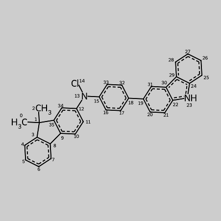 CC1(C)c2ccccc2-c2ccc(N(Cl)c3ccc(-c4ccc5[nH]c6ccccc6c5c4)cc3)cc21